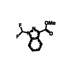 COC(=O)c1nn(C(F)F)c2ccccc12